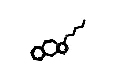 CCCCSc1nnc2n1C=Cc1ccccc1C2